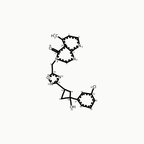 Cc1ccnc2ncn(Cc3nc(C4CC(O)(c5cccc(Cl)c5)C4)no3)c(=O)c12